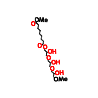 COCC(O)COCC(O)COCC(O)COC(=O)CCCCCCCC(=O)OC